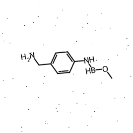 COBNc1ccc(CN)cc1